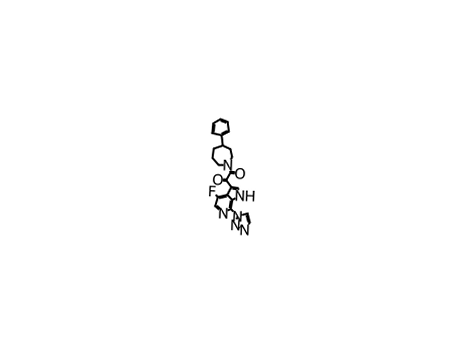 O=C(C(=O)N1CCCC(c2ccccc2)CC1)c1c[nH]c2c(-n3ccnn3)ncc(F)c12